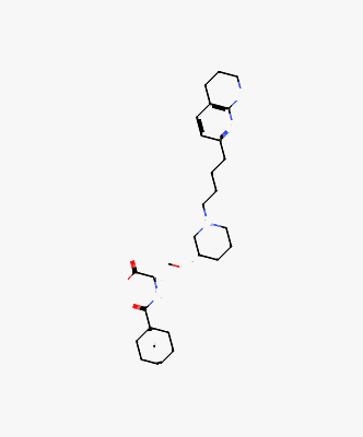 O=C(O)[C@H](CO[C@@H]1CCCN(CCCCc2ccc3c(n2)NCCC3)C1)NC(=O)C12CCC(CC1)CC2